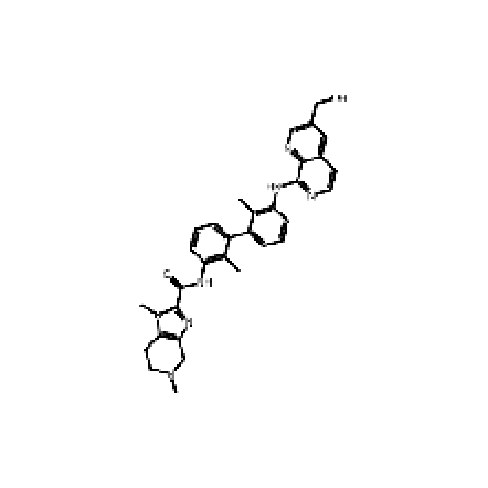 Cc1c(NC(=O)c2nc3c(n2C)CCN(C)C3)cccc1-c1cccc(Nc2nccc3cc(CO)cnc23)c1C